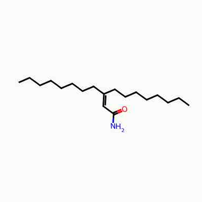 CCCCCCCCC(=CC(N)=O)CCCCCCCC